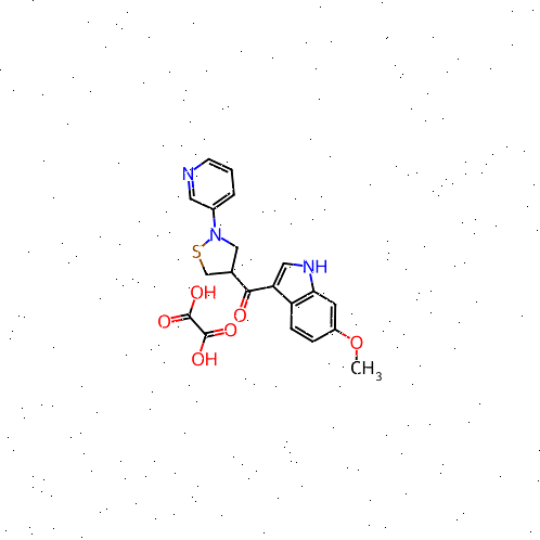 COc1ccc2c(C(=O)C3CSN(c4cccnc4)C3)c[nH]c2c1.O=C(O)C(=O)O